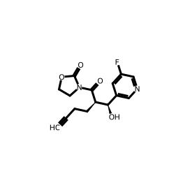 C#CCC[C@@H](C(=O)N1CCOC1=O)[C@H](O)c1cncc(F)c1